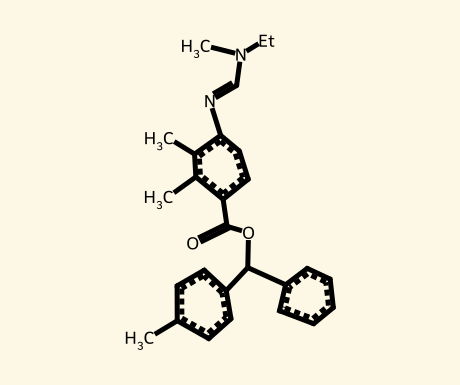 CCN(C)/C=N/c1ccc(C(=O)OC(c2ccccc2)c2ccc(C)cc2)c(C)c1C